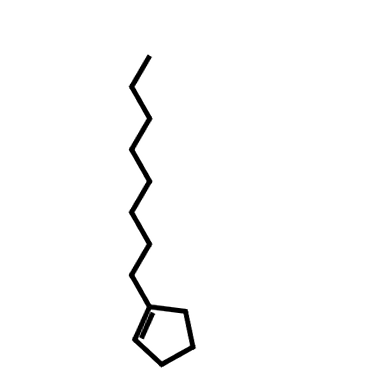 CCCCCCCCC1=CCCC1